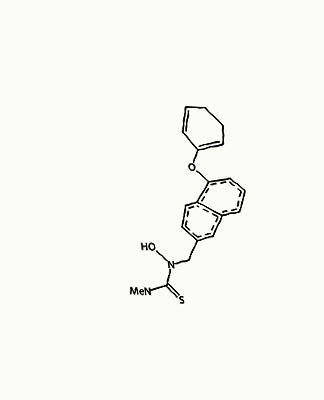 CNC(=S)N(O)Cc1ccc2c(OC3=CCCC=C3)cccc2c1